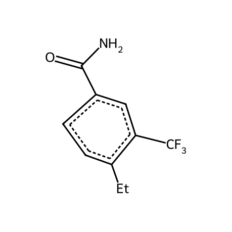 CCc1ccc(C(N)=O)cc1C(F)(F)F